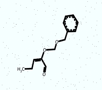 CC/C=C(\C=O)OCOCc1ccccc1